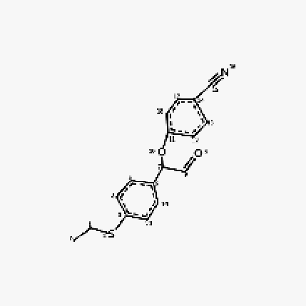 CCSc1ccc(C(C=O)Oc2ccc(C#N)cc2)cc1